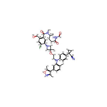 Cc1ccc(-c2c(C)noc2C)cc1N(CCOC1(C)CN(c2cc(C(=O)N(C)C(C)CCC(=O)NC=O)c(C=O)cc2F)C1)c1ccc(C2(C#N)CC2)cc1